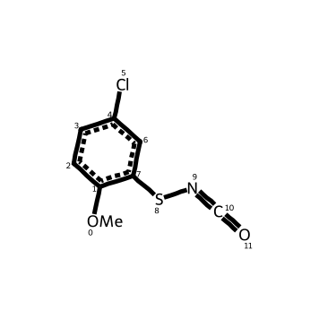 COc1ccc(Cl)cc1SN=C=O